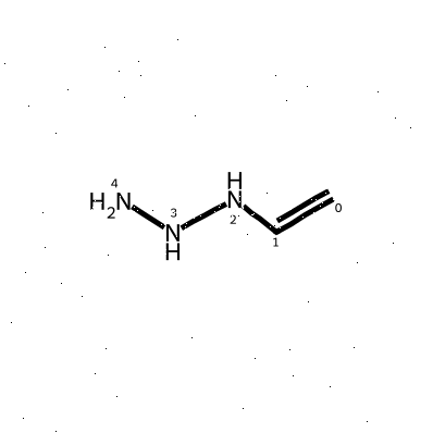 C=CNNN